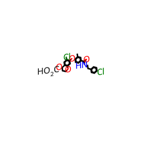 Cc1cc(C(=O)NCCc2ccc(Cl)cc2)ccc1Oc1cc2c(cc1Cl)C(OC(=O)O)CCO2